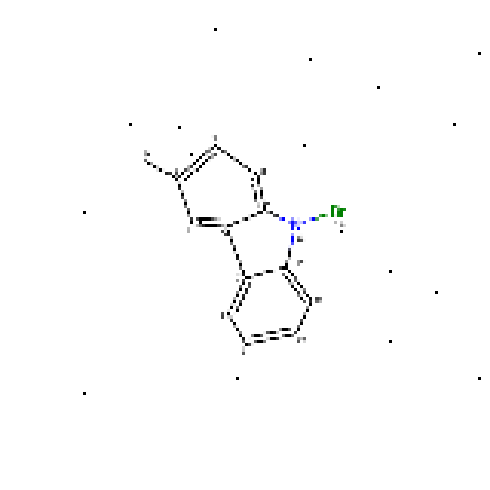 Cc1ccc2c(c1)c1ccccc1n2Br